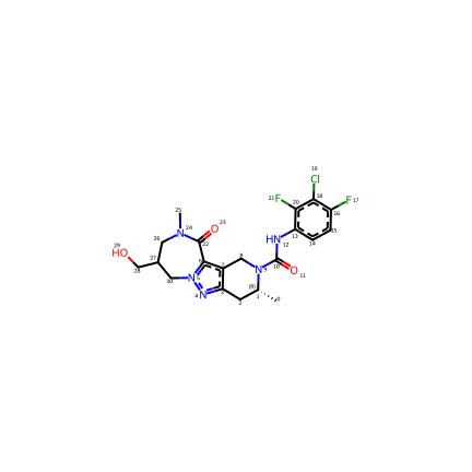 C[C@@H]1Cc2nn3c(c2CN1C(=O)Nc1ccc(F)c(Cl)c1F)C(=O)N(C)CC(CO)C3